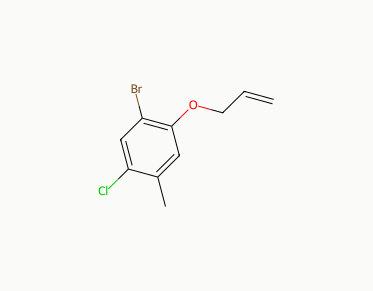 C=CCOc1cc(C)c(Cl)cc1Br